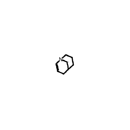 [CH]1C2CC=CN1CCC2